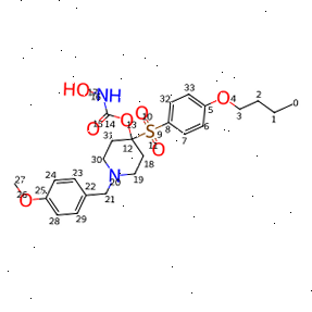 CCCCOc1ccc(S(=O)(=O)C2(OC(=O)NO)CCN(Cc3ccc(OC)cc3)CC2)cc1